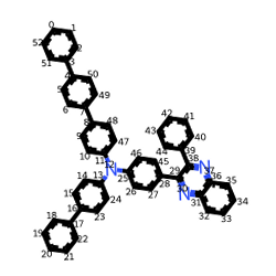 c1ccc(-c2ccc(-c3ccc(N(c4ccc(-c5ccccc5)cc4)c4ccc(-c5nc6ccccc6nc5-c5ccccc5)cc4)cc3)cc2)cc1